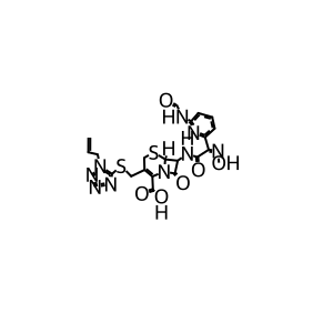 C=CCn1nnnc1SCC1=C(C(=O)O)N2C(=O)C(NC(=O)/C(=N\O)c3cccc(NC=O)n3)[C@H]2SC1